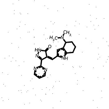 CN(C)C1CCCc2[nH]c(C=C3C(=O)NN=C3c3ncccn3)cc21